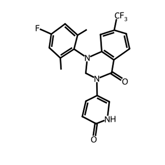 Cc1cc(F)cc(C)c1N1CN(c2ccc(=O)[nH]c2)C(=O)c2ccc(C(F)(F)F)cc21